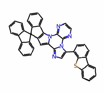 c1ccc2c(c1)-c1ccccc1C21c2ccccc2-c2c1cc1c3ncc(-c4cccc5c4sc4ccccc45)n3c3nccnc3n21